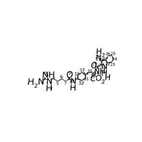 N=C(N)NCCCCC(=O)Nc1ccc(C[C@H](NC(=O)c2[nH]c3ccccc3c2N)C(=O)O)cc1